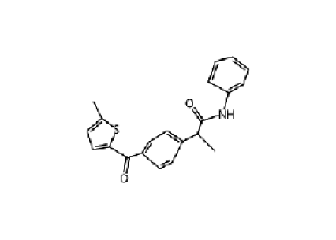 Cc1ccc(C(=O)c2ccc(C(C)C(=O)Nc3ccccc3)cc2)s1